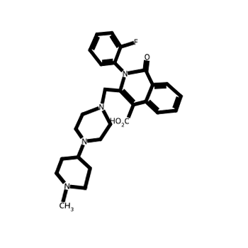 CN1CCC(N2CCN(Cc3c(C(=O)O)c4ccccc4c(=O)n3-c3ccccc3F)CC2)CC1